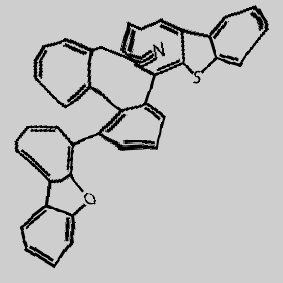 N#Cc1ccccc1-c1c(-c2cccc3c2oc2ccccc23)cccc1-c1cccc2c1sc1ccccc12